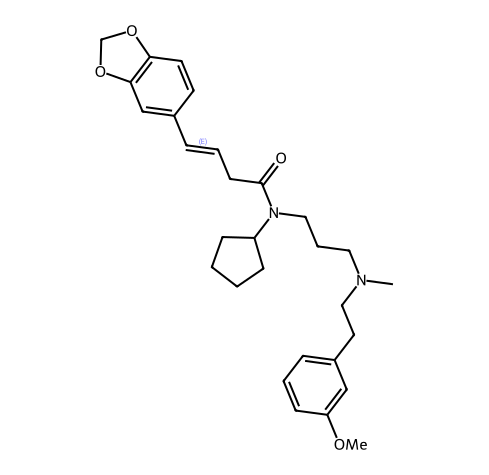 COc1cccc(CCN(C)CCCN(C(=O)C/C=C/c2ccc3c(c2)OCO3)C2CCCC2)c1